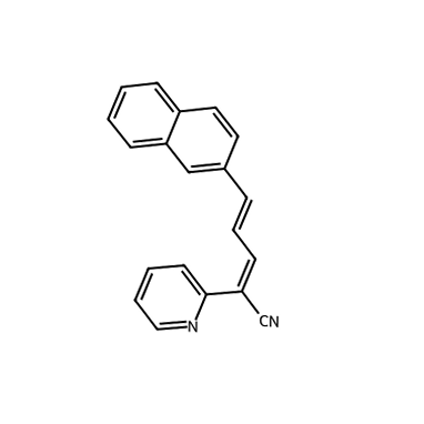 N#CC(=CC=Cc1ccc2ccccc2c1)c1ccccn1